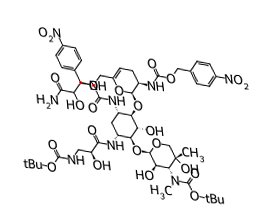 CN(C(=O)OC(C)(C)C)[C@@H]1[C@@H](O)[C@@H](O[C@@H]2[C@@H](O)[C@H](O[C@H]3OC(CNCC(O)C(N)=O)=CC[C@H]3NC(=O)OCc3ccc([N+](=O)[O-])cc3)[C@@H](NC(=O)OCc3ccc([N+](=O)[O-])cc3)C[C@H]2NC(=O)[C@@H](O)CNC(=O)OC(C)(C)C)OC[C@]1(C)O